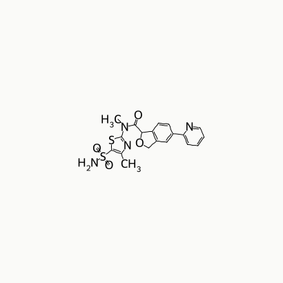 Cc1nc(N(C)C(=O)C2OCc3cc(-c4ccccn4)ccc32)sc1S(N)(=O)=O